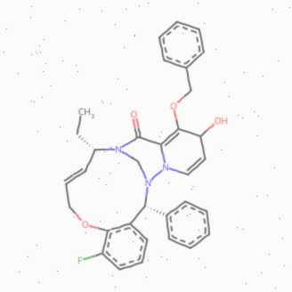 CC[C@H]1/C=C/COc2c(F)cccc2[C@@H](c2ccccc2)N2CN1C(=O)C1=C(OCc3ccccc3)C(O)C=CN12